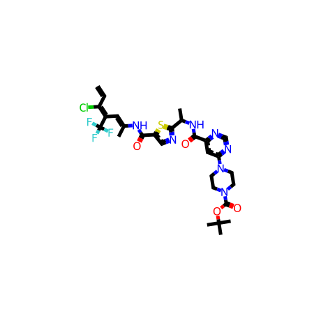 C=C/C(Cl)=C(\C=C(/C)NC(=O)c1cnc(C(C)NC(=O)c2cc(N3CCN(C(=O)OC(C)(C)C)CC3)ncn2)s1)C(F)(F)F